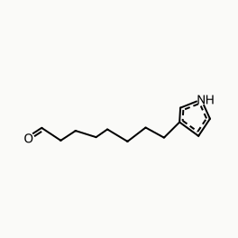 O=CCCCCCCCc1cc[nH]c1